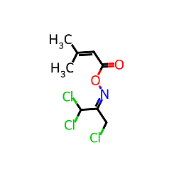 CC(C)=CC(=O)ON=C(CCl)C(Cl)Cl